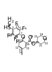 C=[SH]c1c(F)c(F)c(Oc2c(I)cc(I)cc2C(=O)OC2CCOCC2)c(F)c1F